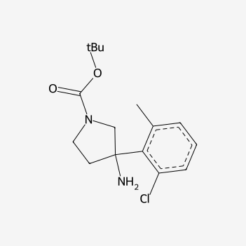 Cc1cccc(Cl)c1C1(N)CCN(C(=O)OC(C)(C)C)C1